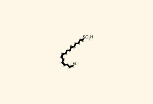 CC/C=C\C/C=C\C/C=C\CCCCCCCCCS(=O)(=O)O